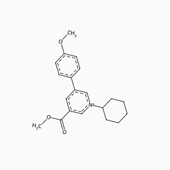 COC(=O)c1cc(-c2ccc(OC)cc2)c[n+](C2CCCCC2)c1